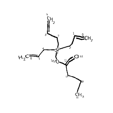 C=CC[Si](CC=C)(CC=C)OC(=O)CCC